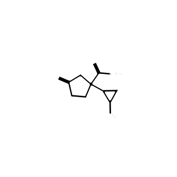 COC(=O)C1(C2CC2C#N)CCC(=O)C1